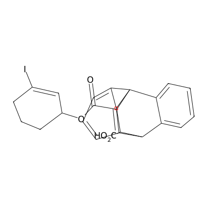 O=C(O)C1C2c3ccccc3C3(c4cccc2c43)C1C(=O)OC1C=C(I)CCC1